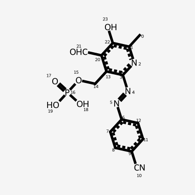 Cc1nc(N=Nc2ccc(C#N)cc2)c(COP(=O)(O)O)c(C=O)c1O